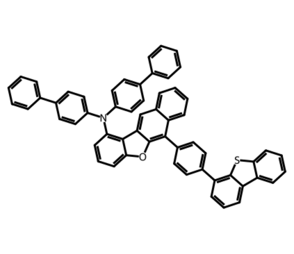 c1ccc(-c2ccc(N(c3ccc(-c4ccccc4)cc3)c3cccc4oc5c(-c6ccc(-c7cccc8c7sc7ccccc78)cc6)c6ccccc6cc5c34)cc2)cc1